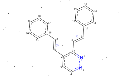 C(=C\c1ccnnc1/C=C/c1ccccc1)/c1ccccc1